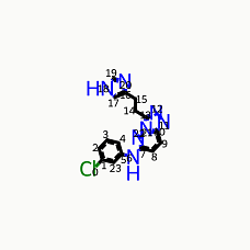 Clc1cccc(Nc2ccc3nnc(CCc4c[nH]cn4)n3n2)c1